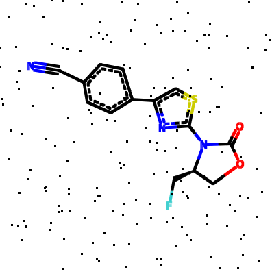 N#Cc1ccc(-c2csc(N3C(=O)OC[C@H]3CF)n2)cc1